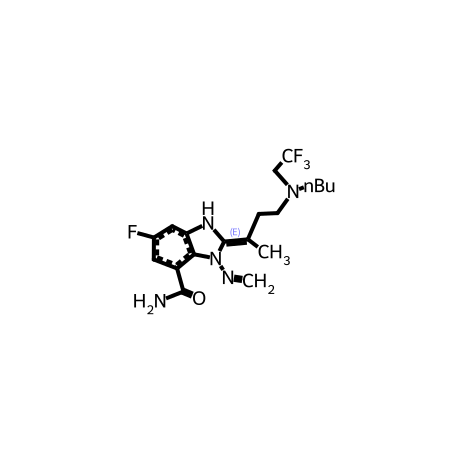 C=NN1/C(=C(\C)CCN(CCCC)CC(F)(F)F)Nc2cc(F)cc(C(N)=O)c21